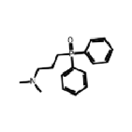 CN(C)CCCP(=O)(c1ccccc1)c1ccccc1